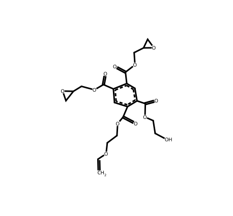 C=COCCOC(=O)c1cc(C(=O)OCC2CO2)c(C(=O)OCC2CO2)cc1C(=O)OCCO